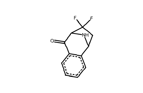 O=C1c2ccccc2C2CC(F)(F)C1N2